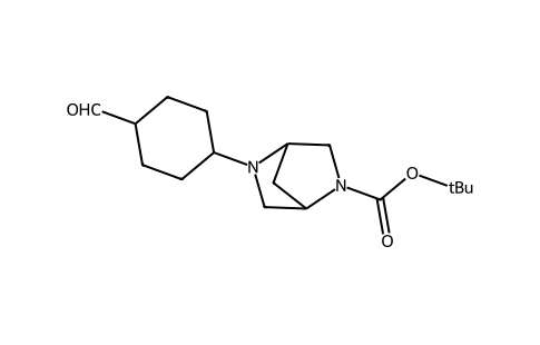 CC(C)(C)OC(=O)N1CC2CC1CN2C1CCC(C=O)CC1